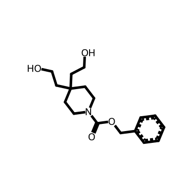 O=C(OCc1ccccc1)N1CCC(CCO)(CCO)CC1